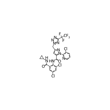 O=C(NC1CC1)c1cc(Cl)cc(Cl)c1NC(=O)c1cc(Cn2nnc(C(F)(F)C(F)(F)F)n2)nn1-c1ncccc1Cl